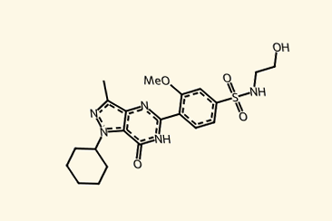 COc1cc(S(=O)(=O)NCCO)ccc1-c1nc2c(C)nn(C3CCCCC3)c2c(=O)[nH]1